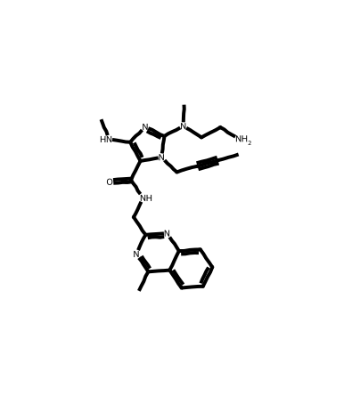 CC#CCn1c(N(C)CCN)nc(NC)c1C(=O)NCc1nc(C)c2ccccc2n1